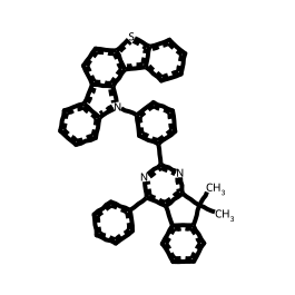 CC1(C)c2ccccc2-c2c(-c3ccccc3)nc(-c3cccc(-n4c5ccccc5c5ccc6sc7ccccc7c6c54)c3)nc21